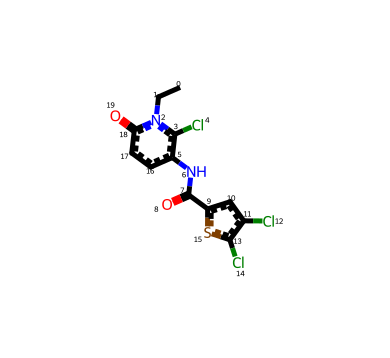 CCn1c(Cl)c(NC(=O)c2cc(Cl)c(Cl)s2)ccc1=O